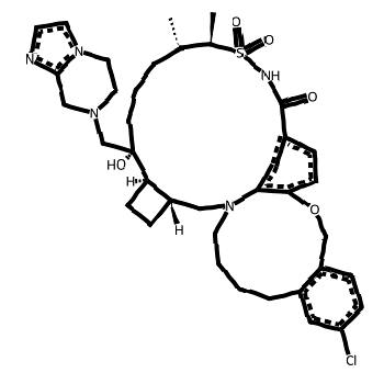 C[C@@H]1[C@@H](C)CCC[C@](O)(CN2CCn3ccnc3C2)[C@@H]2CC[C@H]2CN2CCCCc3cc(Cl)ccc3COc3ccc(cc32)C(=O)NS1(=O)=O